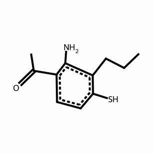 CCCc1c(S)ccc(C(C)=O)c1N